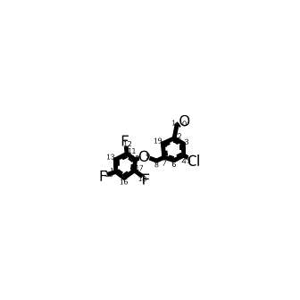 O=Cc1cc(Cl)cc(COc2c(F)cc(F)cc2F)c1